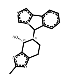 Cc1nc2c(o1)CC[C@H](C1c3ccccc3-c3cncn31)[C@H]2O